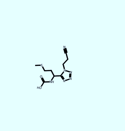 CSCCC(NC(=O)O)c1nnnn1CCC#N